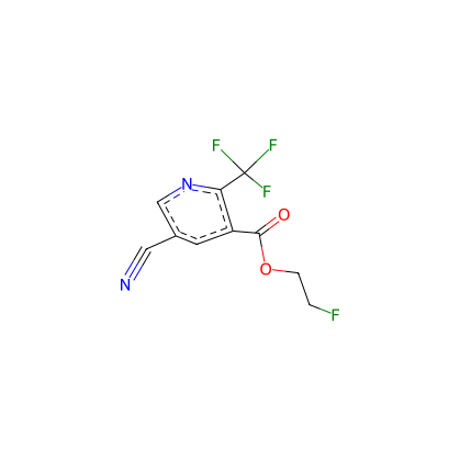 N#Cc1cnc(C(F)(F)F)c(C(=O)OCCF)c1